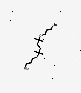 CC(C)(C)CCCOC(C)(C)CCC(C)(C)OCCCC(C)(C)C